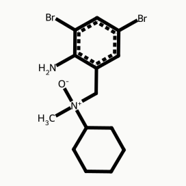 C[N+]([O-])(Cc1cc(Br)cc(Br)c1N)C1CCCCC1